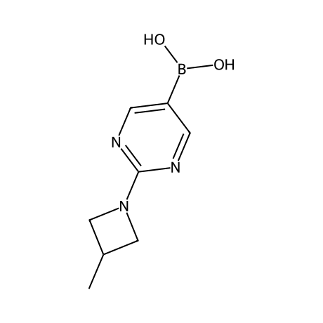 CC1CN(c2ncc(B(O)O)cn2)C1